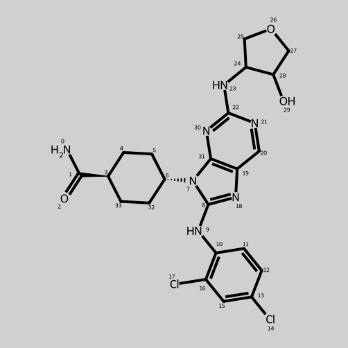 NC(=O)[C@H]1CC[C@H](n2c(Nc3ccc(Cl)cc3Cl)nc3cnc(NC4COCC4O)nc32)CC1